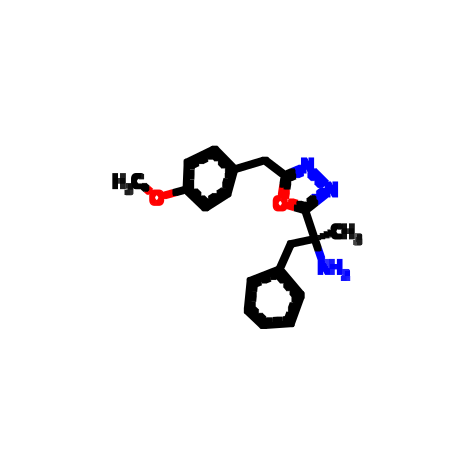 COc1ccc(Cc2nnc([C@@](C)(N)Cc3ccccc3)o2)cc1